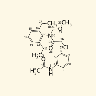 CC(=O)Nc1ccccc1.CCc1cccc(CC)c1N(COC)C(=O)CCl